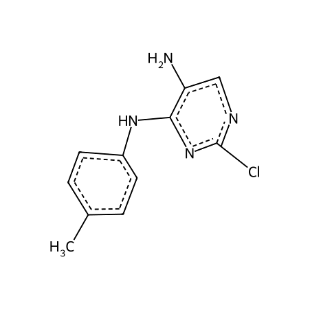 Cc1ccc(Nc2nc(Cl)ncc2N)cc1